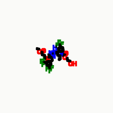 CCOC(=O)CCCOc1cnc(N[C@H]2C[C@@H](CC)N(C(=O)OCCCO)c3ccc(C(F)(F)F)cc32)nc1Cc1cc(C(F)(F)F)cc(C(F)(F)F)c1